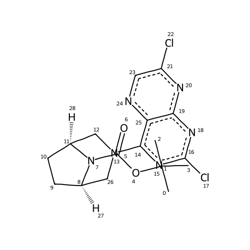 CC(C)(C)OC(=O)N1[C@@H]2CC[C@H]1CN(c1nc(Cl)nc3nc(Cl)cnc13)C2